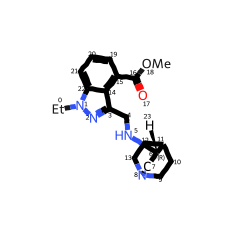 CCn1nc(CN[C@H]2CN3CCC2CC3)c2c(C(=O)OC)cccc21